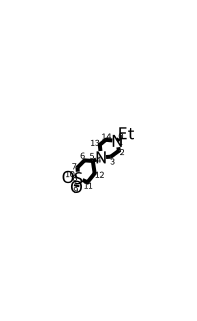 CCN1CCN(C2CCS(=O)(=O)CC2)CC1